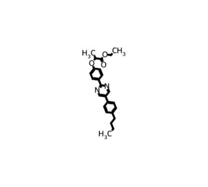 CCCCc1ccc(-c2cnc(-c3ccc(OC(C)C(=O)OCC)cc3)nc2)cc1